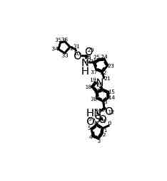 Cc1ccccc1S(=O)(=O)NC(=O)c1ccc2c(ccn2Cc2cccc(NC(=O)OCC3CCCC3)c2)c1